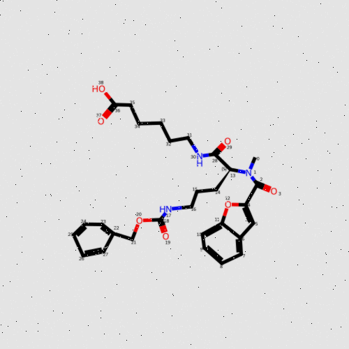 CN(C(=O)c1cc2ccccc2o1)[C@@H](CCCNC(=O)OCc1ccccc1)C(=O)NCCCCCC(=O)O